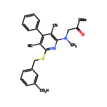 COC(=O)CN(C)c1nc(SCc2cccc(C(=O)O)c2)c(C#N)c(-c2ccccc2)c1C#N